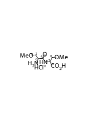 COCC(N)C(=O)NC(COC)C(=O)O.Cl